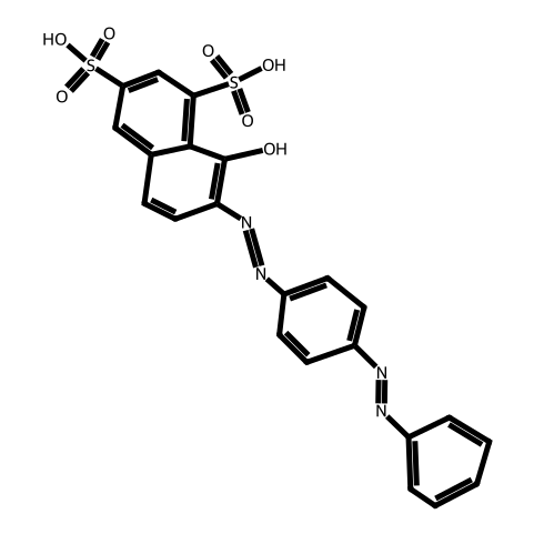 O=S(=O)(O)c1cc(S(=O)(=O)O)c2c(O)c(N=Nc3ccc(N=Nc4ccccc4)cc3)ccc2c1